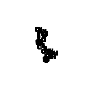 N#CC(CC#Cc1ccc(Cl)c(CCCC(=O)N[C@@H](Cc2ccccc2)B(O)O)c1Cl)c1ccccn1